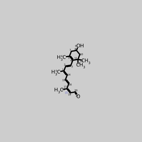 CC(C=CC1=C(C)CC(O)CC1(C)C)=CC=C/C(C)=C\C=O